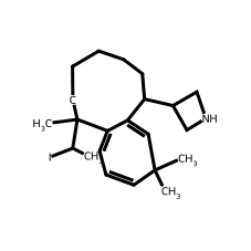 CC(I)C1(C)CCCCCC(C2CNC2)C2=CC(C)(C)C=CC=C21